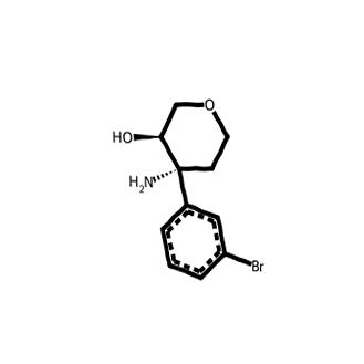 N[C@@]1(c2cccc(Br)c2)CCOC[C@@H]1O